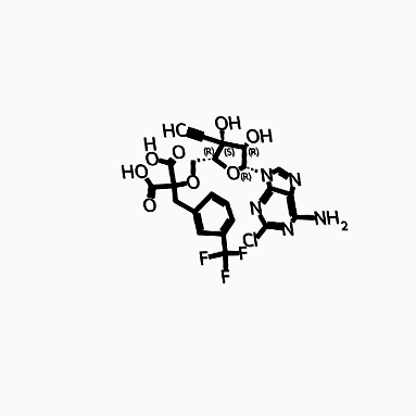 C#C[C@@]1(O)[C@@H](COC(Cc2cccc(C(F)(F)F)c2)(C(=O)O)C(=O)O)O[C@@H](n2cnc3c(N)nc(Cl)nc32)[C@@H]1O